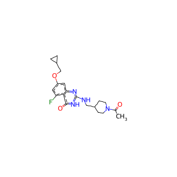 CC(=O)N1CCC(CNc2nc3cc(OCC4CC4)cc(F)c3c(=O)[nH]2)CC1